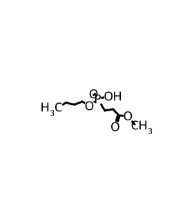 CCCCOP(=O)(O)CCC(=O)OC